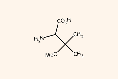 COC(C)(C)C(N)C(=O)O